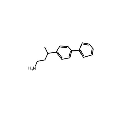 CC(CCN)c1ccc(-c2ccccc2)cc1